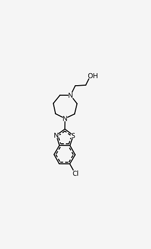 OCCN1CCCN(c2nc3ccc(Cl)cc3s2)CC1